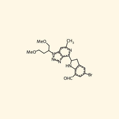 COCCC(COC)n1nnc2c(C3Cc4cc(Br)cc(C=O)c4N3)nc(C)cc21